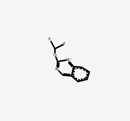 FC(F)OC1=NC=c2ccccc2=[N+]1